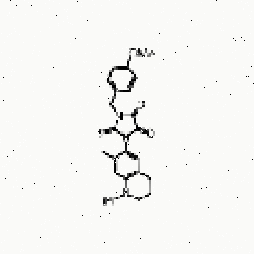 COc1ccc(CN2C(=O)C(=O)N(c3cc4c(cc3C)N(C(C)C)CCC4)C2=S)cc1